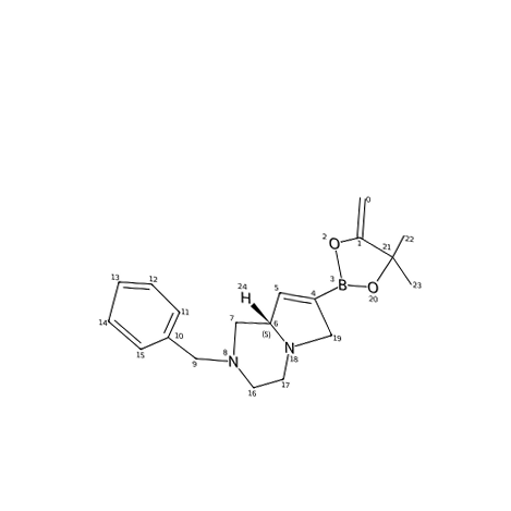 C=C1OB(C2=C[C@H]3CN(Cc4ccccc4)CCN3C2)OC1(C)C